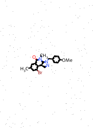 COc1ccc(Cn2ncc3c4c(Br)cc(C)cc4c(=O)n(C)c32)cc1